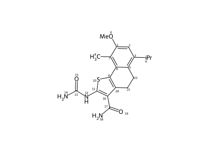 COc1cc(C(C)C)c2c(c1C)-c1sc(NC(N)=O)c(C(N)=O)c1CC2